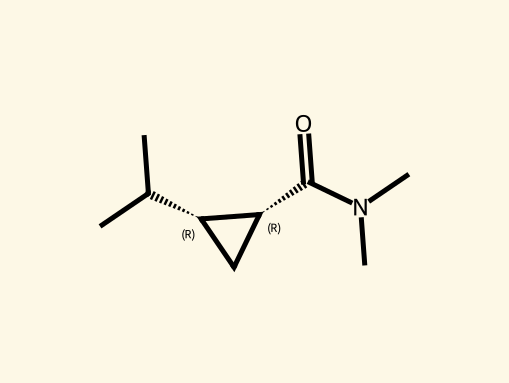 CC(C)[C@H]1C[C@H]1C(=O)N(C)C